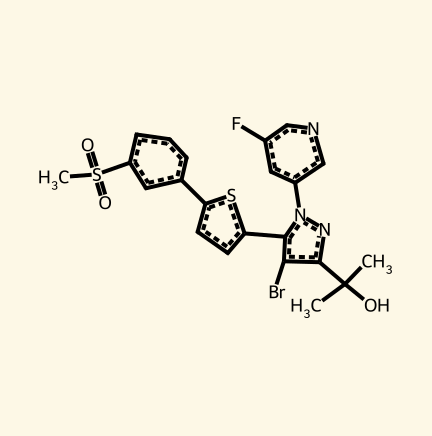 CC(C)(O)c1nn(-c2cncc(F)c2)c(-c2ccc(-c3cccc(S(C)(=O)=O)c3)s2)c1Br